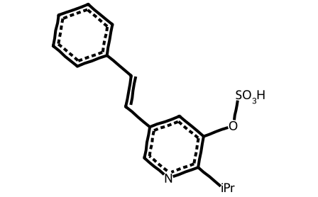 CC(C)c1ncc(C=Cc2ccccc2)cc1OS(=O)(=O)O